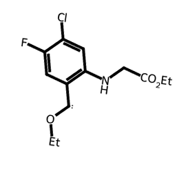 CCO[C]c1cc(F)c(Cl)cc1NCC(=O)OCC